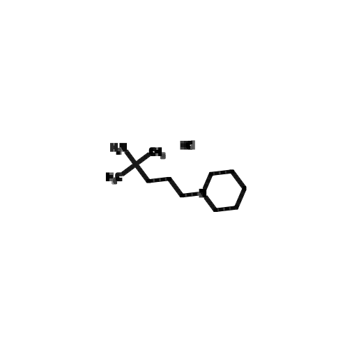 CC(C)(N)CCCN1CCCCC1.Cl